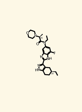 CC[C@H]1CCc2[nH]nc(-c3nc4cc(N(CC)C(=O)[C@H](C)N5CCOCC5)cc(F)c4[nH]3)c2C1